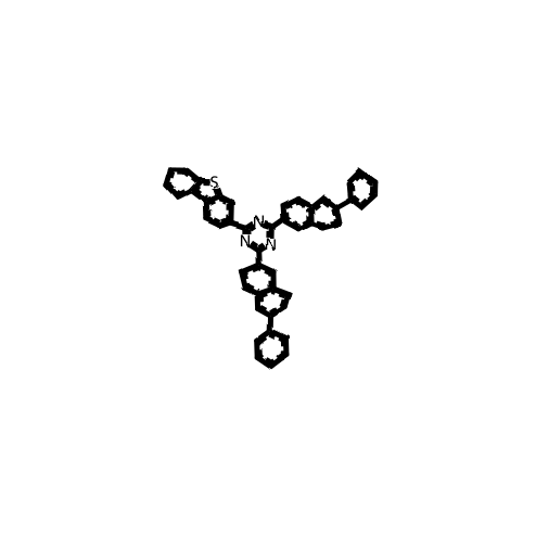 c1ccc(-c2ccc3cc(-c4nc(-c5ccc6cc(-c7ccccc7)ccc6c5)nc(-c5ccc6c(c5)sc5ccccc56)n4)ccc3c2)cc1